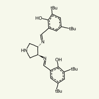 CC(C)(C)c1cc(/C=N/[C@H]2CNC[C@@H]2/N=C/c2cc(C(C)(C)C)cc(C(C)(C)C)c2O)c(O)c(C(C)(C)C)c1